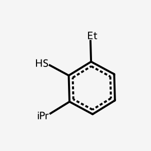 CCc1cccc(C(C)C)c1S